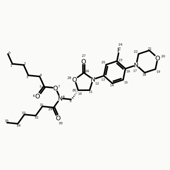 CCCCCC(=O)ON(C[C@H]1CN(c2ccc(N3CCOCC3)c(F)c2)C(=O)O1)C(=O)CCCCC